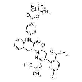 CC(=O)c1ccc(Cl)cc1-c1cc(=O)n(C(Cc2ccccc2)C(=O)Nc2ccc(C(=O)OC(C)(C)C)cc2)nc1OC(C)C